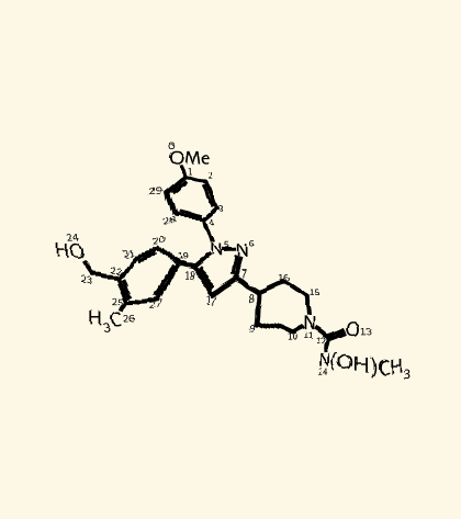 COc1ccc(-n2nc(C3CCN(C(=O)N(C)O)CC3)cc2-c2ccc(CO)c(C)c2)cc1